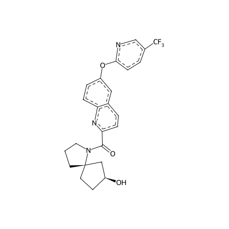 O=C(c1ccc2cc(Oc3ccc(C(F)(F)F)cn3)ccc2n1)N1CCC[C@@]12CC[C@H](O)C2